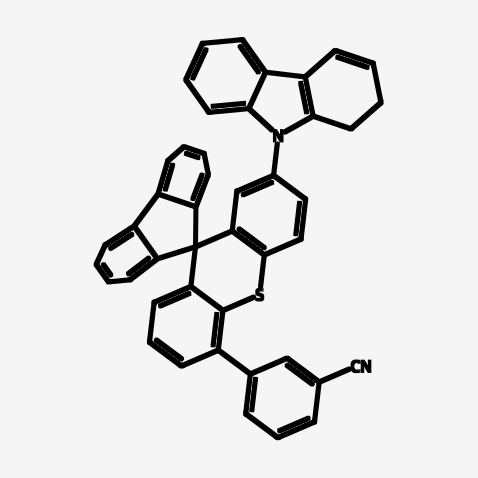 N#Cc1cccc(-c2cccc3c2Sc2ccc(-n4c5c(c6ccccc64)C=CCC5)cc2C32c3ccccc3-c3ccccc32)c1